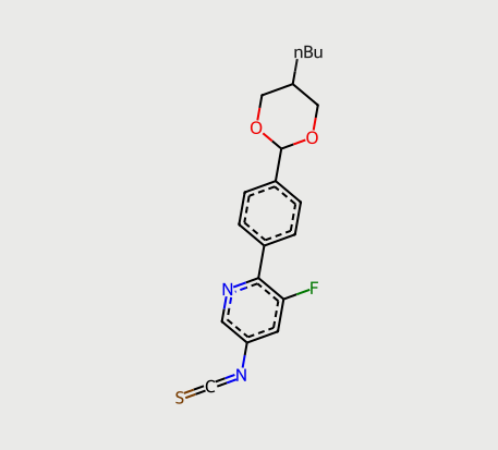 CCCCC1COC(c2ccc(-c3ncc(N=C=S)cc3F)cc2)OC1